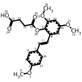 COc1ccc(/C=C/c2cc(OC)cc(OC)c2OC(=O)CCC(=O)O)cc1